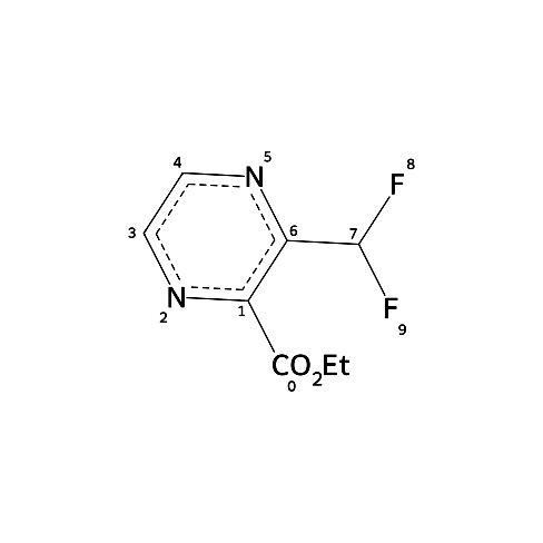 CCOC(=O)c1nccnc1C(F)F